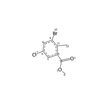 COC(=O)c1cc(Cl)cc(Br)c1C